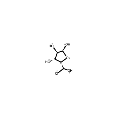 OC(Cl)[C@H]1O[C@H](O)[C@H](O)[C@H]1O